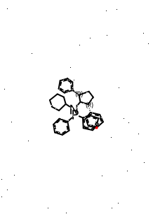 c1ccc([C@H]2CC[C@H](c3ccccc3)C2N(C2CCCCC2)P(c2ccccc2)c2ccccc2)cc1